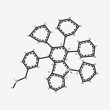 CSCc1cccc(-c2c(-c3ccccc3)c(-c3ccccc3)c(-c3ccccc3)c3c2c2ccccc2n3-c2ccccc2)c1